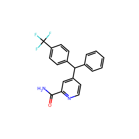 NC(=O)c1cc(C(c2ccccc2)c2ccc(C(F)(F)F)cc2)ccn1